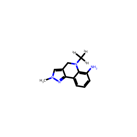 [2H]C([2H])([2H])N1Cc2cn(C)nc2-c2cccc(N)c21